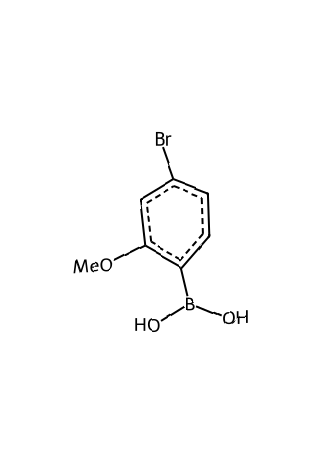 COc1cc(Br)ccc1B(O)O